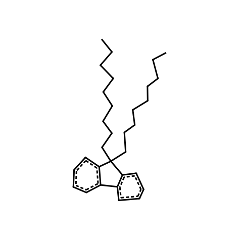 CCCCCCCCCC1(CCCCCCCCC)c2ccccc2-c2ccccc21